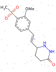 COc1cc(/C=C/C2CCC(=O)NN2)ccc1S(C)(=O)=O